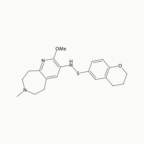 COc1nc2c(cc1NSc1ccc3c(c1)CCCO3)CCN(C)CC2